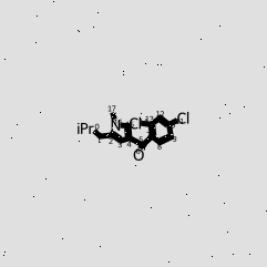 CC(C)Cc1cc(C(=O)c2ccc(Cl)cc2Cl)cn1C